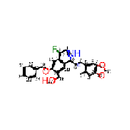 Cc1cc2c(cc1/C=C/C1NCC(F)c3cc(OCc4ccccc4)c(CO)cc31)OCO2